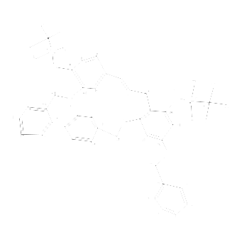 CC(C)(C)[Si](C)(C)Oc1ccc(C=CCc2c(OCc3ccccc3)cc(OCc3ccccc3)cc2O[Si](C)(C)C(C)(C)C)cc1OCc1ccccc1